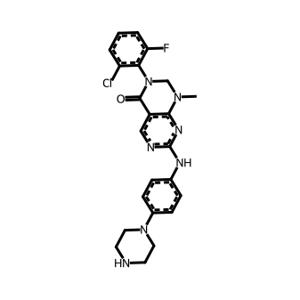 CN1CN(c2c(F)cccc2Cl)C(=O)c2cnc(Nc3ccc(N4CCNCC4)cc3)nc21